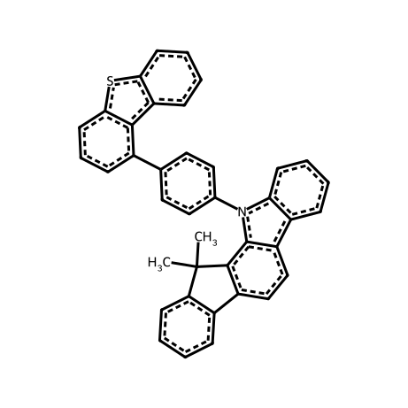 CC1(C)c2ccccc2-c2ccc3c4ccccc4n(-c4ccc(-c5cccc6sc7ccccc7c56)cc4)c3c21